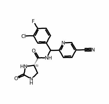 N#Cc1ccc(C(NC(=O)[C@@H]2CNC(=O)N2)c2ccc(F)c(Cl)c2)nc1